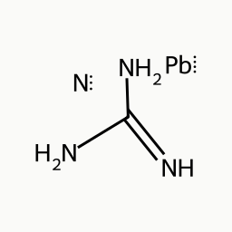 N=C(N)N.[N].[Pb]